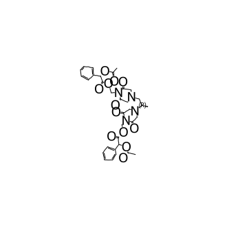 CC(=O)OC(C(=O)OCN1C(=O)CN(C[C@@H](C)N2CC(=O)N(COC(=O)C(OC(C)=O)c3ccccc3)C(=O)C2)CC1=O)c1ccccc1